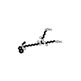 C#CCN(C(=O)CCCCCCCCC(=O)OC(COC(=O)CCCCCCCCCCCCCCC)COC(=O)CCCCCCCCCCCCCCC)[C@@H]1CCc2ccccc21